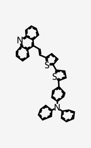 C(=C\c1c2ccccc2nc2ccccc12)/c1ccc(-c2ccc(-c3ccc(N(c4ccccc4)c4ccccc4)cc3)s2)s1